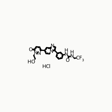 Cl.O=C(NCC(F)(F)F)Nc1cccc(-c2cnc3cc(-c4ccc(=O)n(CCO)n4)ccn23)c1